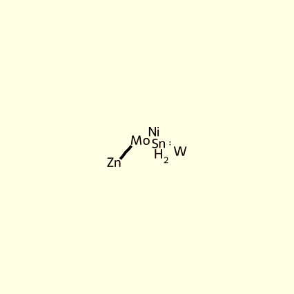 [Ni].[SnH2].[W].[Zn][Mo]